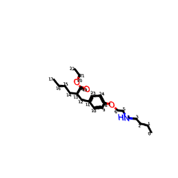 CCCCNCCOc1ccc(CC(CCCC)C(=O)OCC)cc1